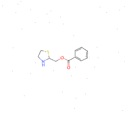 O=C(OCC1NCCS1)c1ccccc1